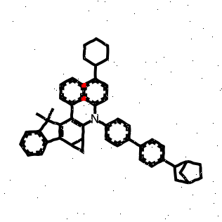 CC1(C)C2=C(c3ccccc31)C1CC1C(N(c1ccc(-c3ccc(C4CC5CCC4C5)cc3)cc1)c1ccc(C3CCCCC3)cc1)=C2c1ccccc1